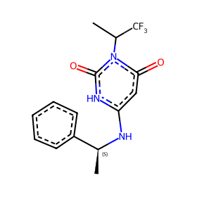 CC(n1c(=O)cc(N[C@@H](C)c2ccccc2)[nH]c1=O)C(F)(F)F